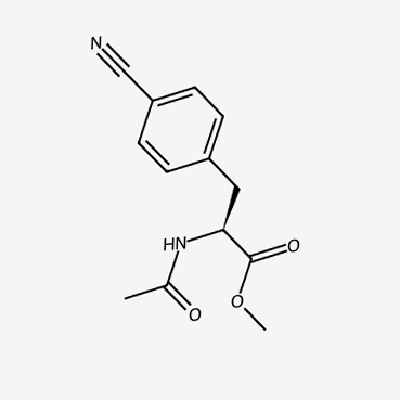 COC(=O)[C@H](Cc1ccc(C#N)cc1)NC(C)=O